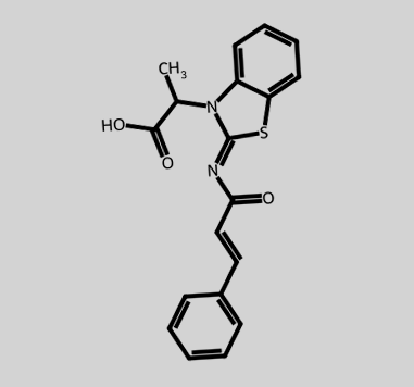 CC(C(=O)O)n1c(=NC(=O)C=Cc2ccccc2)sc2ccccc21